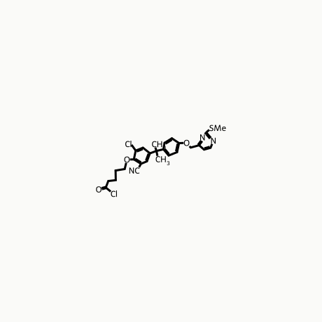 CSc1nccc(COc2ccc(C(C)(C)c3cc(Cl)c(OCCCCC(=O)Cl)c(C#N)c3)cc2)n1